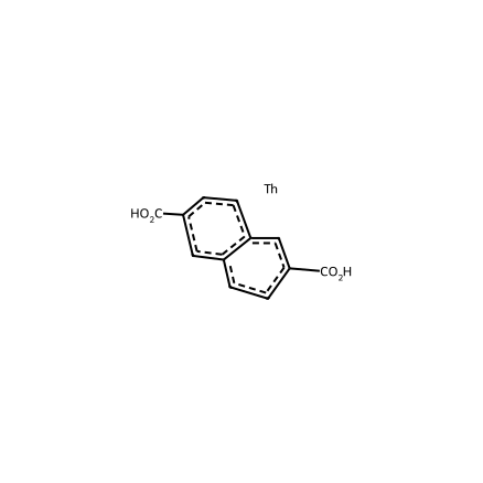 O=C(O)c1ccc2cc(C(=O)O)ccc2c1.[Th]